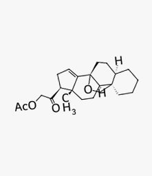 CC(=O)OCC(=O)[C@H]1CC=C2[C@]1(C)CC[C@@H]1[C@@]34CCCC[C@@H]3CC[C@@]21OC4